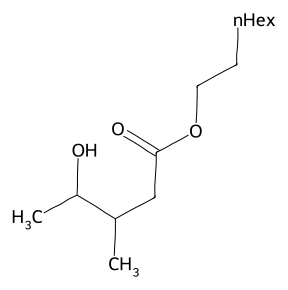 CCCCCCCCOC(=O)CC(C)C(C)O